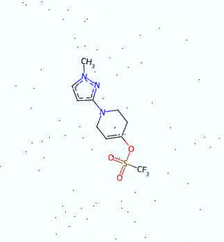 Cn1ccc(N2CC=C(OS(=O)(=O)C(F)(F)F)CC2)n1